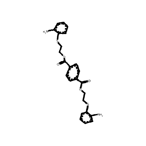 Nc1ccccc1SCCOC(=O)c1ccc(C(=O)OCCSc2ccccc2N)cc1